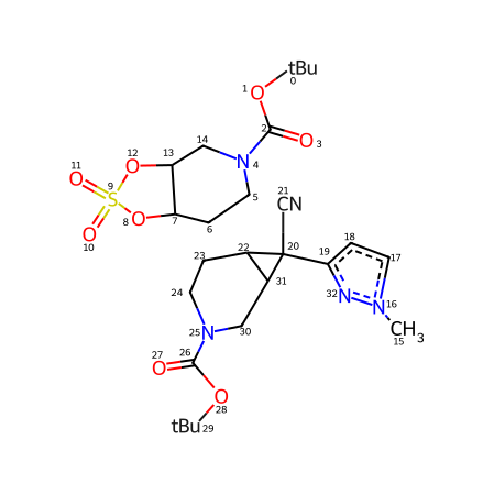 CC(C)(C)OC(=O)N1CCC2OS(=O)(=O)OC2C1.Cn1ccc(C2(C#N)C3CCN(C(=O)OC(C)(C)C)CC32)n1